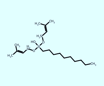 CCCCCCCCCC[Si](O)(O[SiH2]C=C(C)C)O[SiH2]C=C(C)C